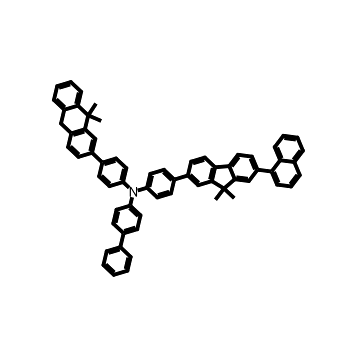 CC1(C)c2ccccc2Cc2ccc(-c3ccc(N(c4ccc(-c5ccccc5)cc4)c4ccc(-c5ccc6c(c5)C(C)(C)c5cc(-c7cccc8ccccc78)ccc5-6)cc4)cc3)cc21